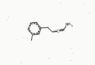 Cc1cccc(CC=C=CN)c1